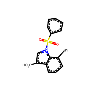 CC(C)c1cccc2c(C(=O)O)cn(S(=O)(=O)c3ccccc3)c12